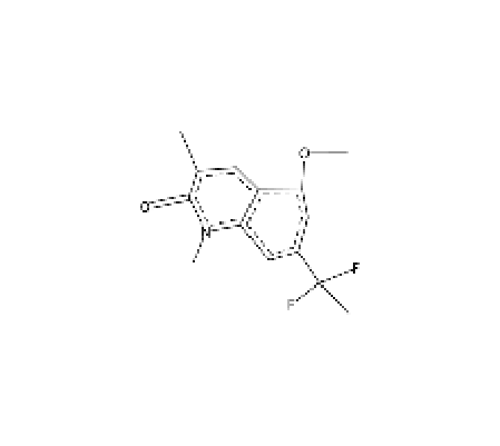 COc1cc(C(C)(F)F)cc2c1cc(C)c(=O)n2C